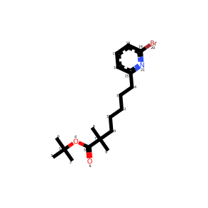 CC(C)(C)OC(=O)C(C)(C)CCCCCc1cccc(Br)n1